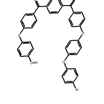 COc1ccc(Oc2ccc(C(=O)c3ccc(C(=O)c4ccc(Oc5ccc(Oc6ccc(C(C)=O)cc6)cc5)cc4)cc3)cc2)cc1